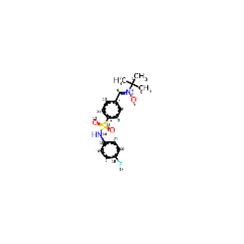 CC(C)(C)[N+]([O-])=Cc1ccc(S(=O)(=O)Nc2ccc(F)cc2)cc1